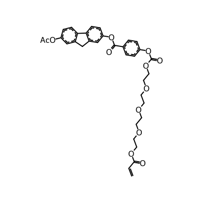 C=CC(=O)OCCOCCOCCOCCOC(=O)Oc1ccc(C(=O)Oc2ccc3c(c2)Cc2cc(OC(C)=O)ccc2-3)cc1